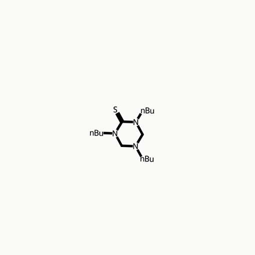 CCCCN1CN(CCCC)C(=S)N(CCCC)C1